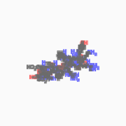 CC[C@H](C)[C@H](NC(=O)[C@H](CCCNC(=N)N)NC(=O)[C@H](CCCCN)NC(=O)[C@H](CCCCN)NC(=O)[C@@H](N)Cc1ccc(O)cc1)C(=O)NCC(=O)N[C@@H](Cc1c[nH]c2ccccc12)C(=O)N[C@@H](CCCNC(=N)N)C(=O)N[C@@H](Cc1ccccc1)C(=O)N[C@H](C(=O)N[C@@H](CCCNC(=N)N)C(=O)N[C@H](C(=O)N[C@@H](CC(=O)O)C(=O)N[C@H](C(=O)N[C@@H](CO)C(=O)O)[C@@H](C)O)[C@@H](C)CC)[C@@H](C)CC